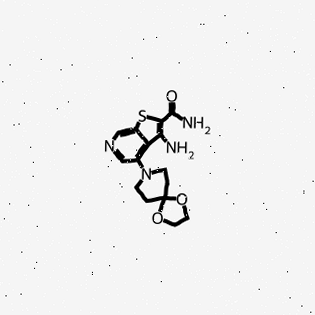 NC(=O)c1sc2cncc(N3CCC4(CC3)OCCO4)c2c1N